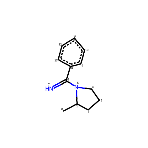 CC1CCCN1C(=N)c1cc[c]cc1